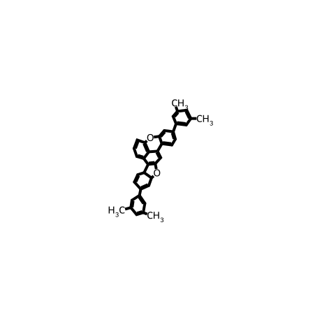 Cc1cc(C)cc(C2=CC3Oc4cc5c6c(cccc6c4C3C=C2)Oc2cc(-c3cc(C)cc(C)c3)ccc2-5)c1